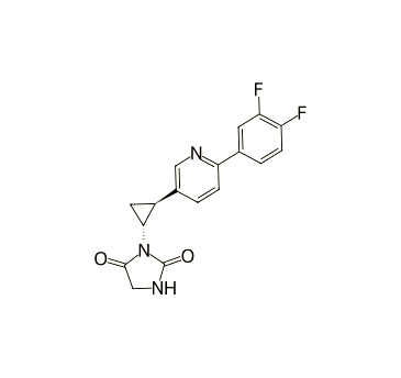 O=C1CNC(=O)N1[C@@H]1C[C@H]1c1ccc(-c2ccc(F)c(F)c2)nc1